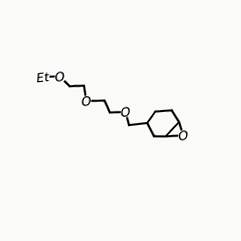 CCOCCOCCOCC1CCC2OC2C1